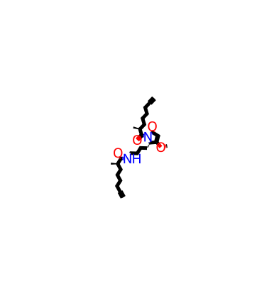 C#CCCCC[C@@H](C)C(=O)NCCCC[C@H]1C(OC)=CC(=O)N1C(=O)[C@@H](C)CCCCC#C